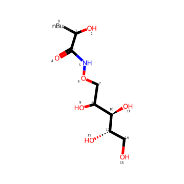 CCCCC(O)C(=O)NOCC(O)[C@@H](O)[C@@H](O)CO